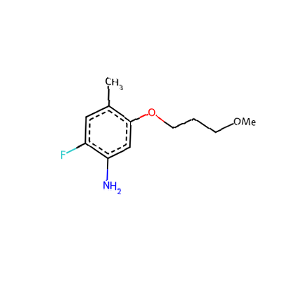 COCCCOc1cc(N)c(F)cc1C